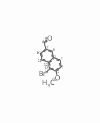 COc1ccc2cc(C=O)ccc2c1Br